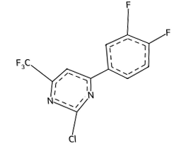 Fc1ccc(-c2cc(C(F)(F)F)nc(Cl)n2)cc1F